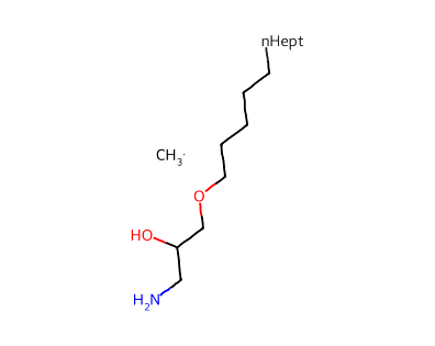 CCCCCCCCCCCCOCC(O)CN.[CH3]